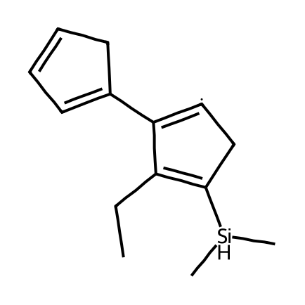 CCC1=C([SiH](C)C)C[C]=C1C1=CC=CC1